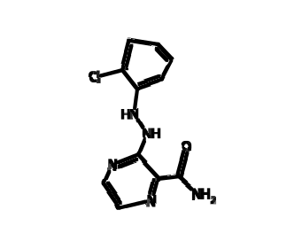 NC(=O)c1nccnc1NNc1ccccc1Cl